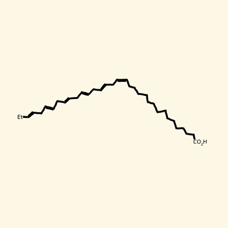 CCC=CCC=CCC=CCC=CCC=CC/C=C\CCCCCCCCCCCCCCC(=O)O